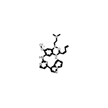 C=C/C=C\C(=O)Nc1cc(Nc2nccc(-c3cnn4ccccc34)n2)c(OC(F)(F)F)cc1N(C)CCN(C)C